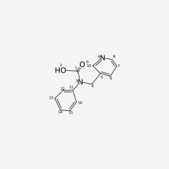 O=C(O)N(Cc1cccnc1)c1ccccc1